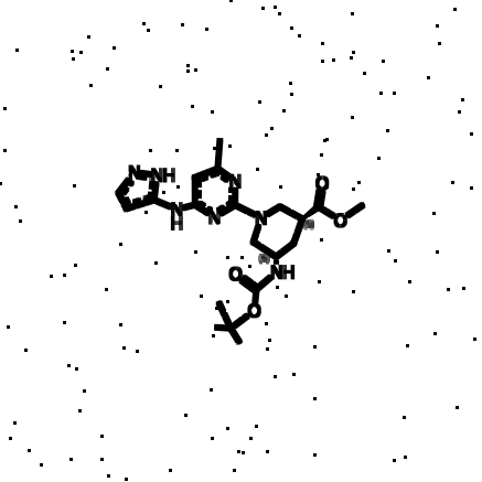 COC(=O)[C@H]1C[C@H](NC(=O)OC(C)(C)C)CN(c2nc(C)cc(Nc3ccn[nH]3)n2)C1